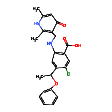 Cc1cc(=O)c(CNc2cc(C(C)Oc3ccccc3)c(Cl)cc2C(=O)O)c(C)[nH]1